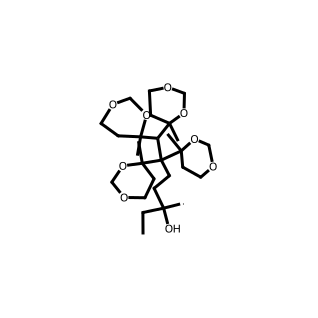 [CH2]C(O)(CC)CCC(C(C1(C)CCOCO1)C1(C)CCOCO1)(C1(C)CCOCO1)C1(C)CCOCO1